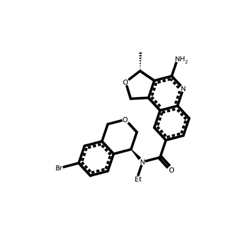 CCN(C(=O)c1ccc2nc(N)c3c(c2c1)CO[C@@H]3C)[C@@H]1COCc2cc(Br)ccc21